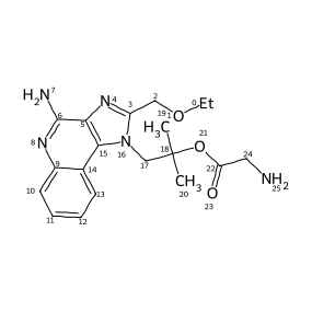 CCOCc1nc2c(N)nc3ccccc3c2n1CC(C)(C)OC(=O)CN